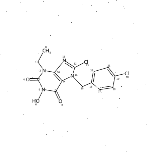 CCn1c(=O)n(O)c(=O)c2c1nc(Cl)n2Cc1ccc(Cl)cc1